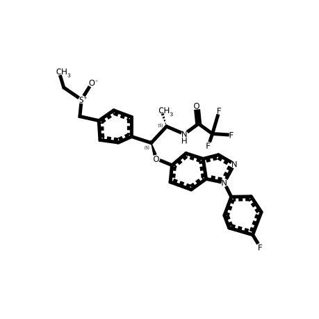 CC[S+]([O-])Cc1ccc([C@H](Oc2ccc3c(cnn3-c3ccc(F)cc3)c2)[C@H](C)NC(=O)C(F)(F)F)cc1